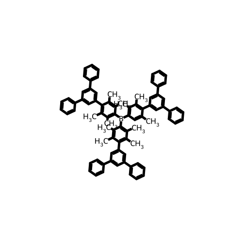 Cc1cc(B(c2c(C)c(C)c(-c3cc(-c4ccccc4)cc(-c4ccccc4)c3)c(C)c2C)c2c(C)c(C)c(-c3cc(-c4ccccc4)cc(-c4ccccc4)c3)c(C)c2C)c(C)c(C)c1-c1cc(-c2ccccc2)cc(-c2ccccc2)c1